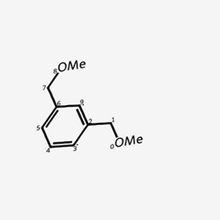 COCc1[c]ccc(COC)[c]1